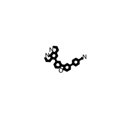 N#Cc1ccc(-c2ccc3oc4ccc(-c5cc6cccnc6c6ncccc56)cc4c3c2)cc1